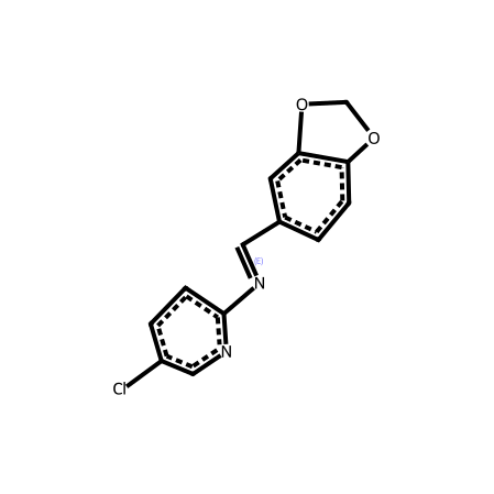 Clc1ccc(/N=C/c2ccc3c(c2)OCO3)nc1